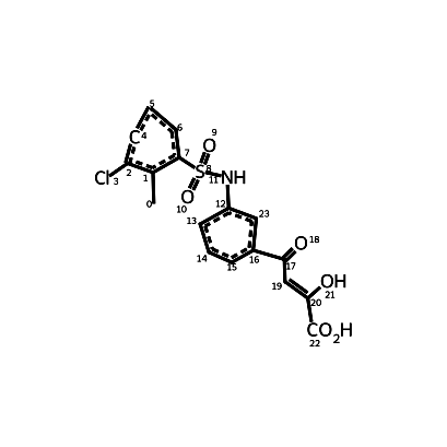 Cc1c(Cl)cccc1S(=O)(=O)Nc1cccc(C(=O)C=C(O)C(=O)O)c1